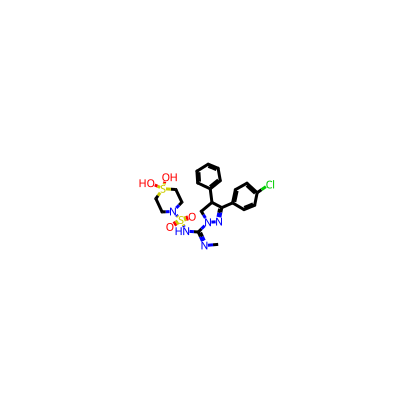 CN=C(NS(=O)(=O)N1CCS(O)(O)CC1)N1CC(c2ccccc2)C(c2ccc(Cl)cc2)=N1